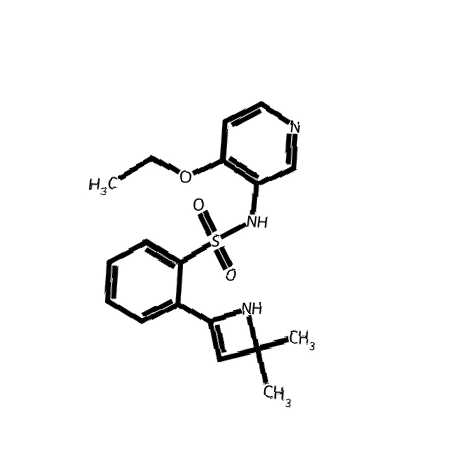 CCOc1ccncc1NS(=O)(=O)c1ccccc1C1=CC(C)(C)N1